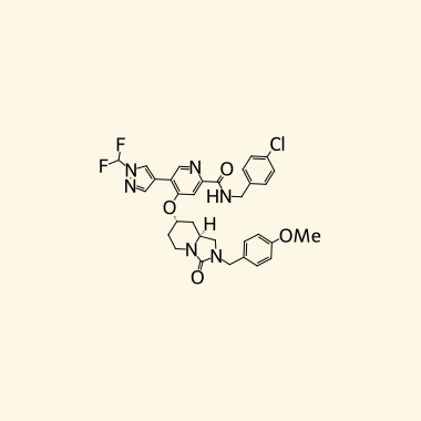 COc1ccc(CN2C[C@@H]3C[C@@H](Oc4cc(C(=O)NCc5ccc(Cl)cc5)ncc4-c4cnn(C(F)F)c4)CCN3C2=O)cc1